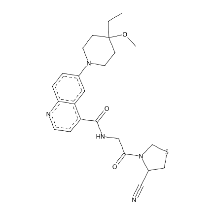 CCC1(OC)CCN(c2ccc3nccc(C(=O)NCC(=O)N4CSCC4C#N)c3c2)CC1